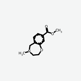 COC(=O)c1ccc2c(c1)OCCN(C)C2